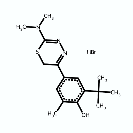 Br.Cc1cc(C2=NN=C(N(C)C)SC2)cc(C(C)(C)C)c1O